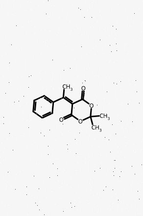 CC(=C1C(=O)OC(C)(C)OC1=O)c1ccccc1